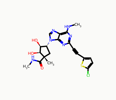 CNC(=O)[C@@]1(C)C[C@@H](n2cnc3c(NC)nc(C#Cc4ccc(Cl)s4)nc32)[C@H](O)[C@@H]1O